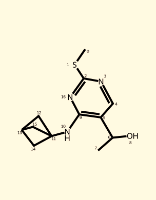 CSc1ncc(C(C)O)c(NC23CC(C2)C3)n1